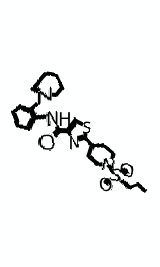 CCCS(=O)(=O)N1CCC(c2nc(C(=O)Nc3ccccc3N3CCCCC3)cs2)CC1